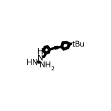 CC(C)(C)c1ccc(C#Cc2cccc(CNC(=N)N)c2)cc1